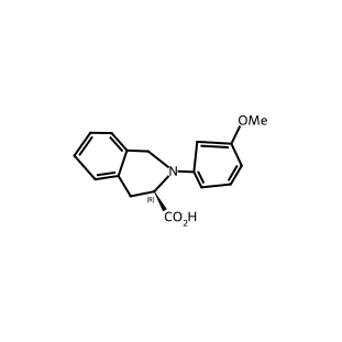 COc1cccc(N2Cc3ccccc3C[C@@H]2C(=O)O)c1